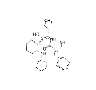 C1CCC(NC2CCCCC2)CC1.CCC[C@H](NC(=O)[C@H](CS)Cc1ccccc1)C(O)=S